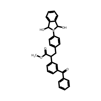 COC(=O)C(Cc1ccc(N2C(O)c3ccccc3C2O)cc1)c1cccc(C(=O)c2ccccc2)c1